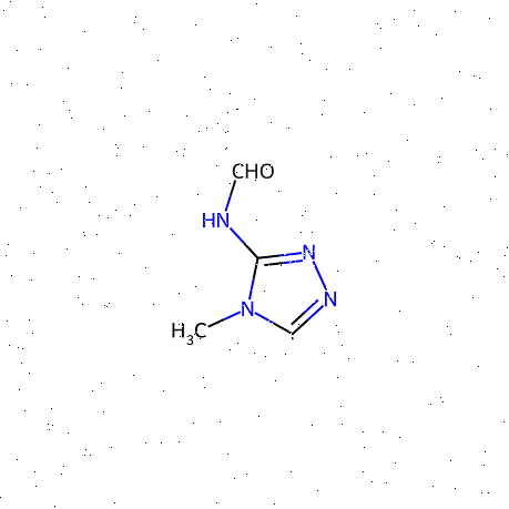 Cn1[c]nnc1NC=O